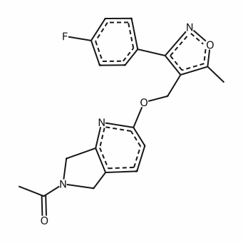 CC(=O)N1Cc2ccc(OCc3c(-c4ccc(F)cc4)noc3C)nc2C1